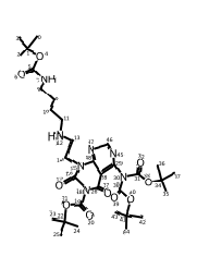 CC(C)(C)OC(=O)NCCCCNCCn1c(=O)n(C(=O)OC(C)(C)C)c(=O)c2c(N(C(=O)OC(C)(C)C)C(=O)OC(C)(C)C)ncnc21